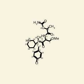 COCC(NC(=O)C(C)OC(N)=O)C(=O)N(C)[C@@]1(Cc2ccc(Cl)cc2)CCCNC1